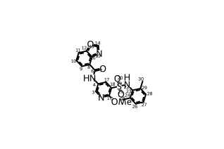 COc1ncc(NC(=O)c2cccc3ocnc23)cc1S(=O)(=O)Nc1c(C)cccc1C